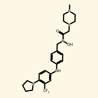 CN1CCN(CC(=O)N(O)Cc2ccc(Nc3ccc(N4CCCC4)c(C(F)(F)F)c3)cc2)CC1